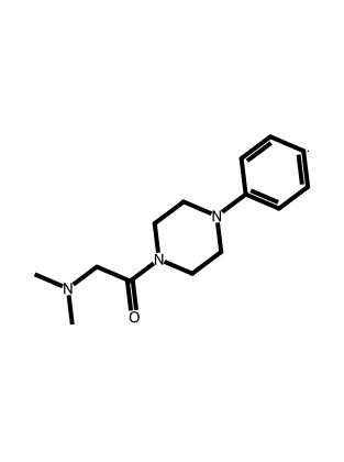 CN(C)CC(=O)N1CCN(c2cc[c]cc2)CC1